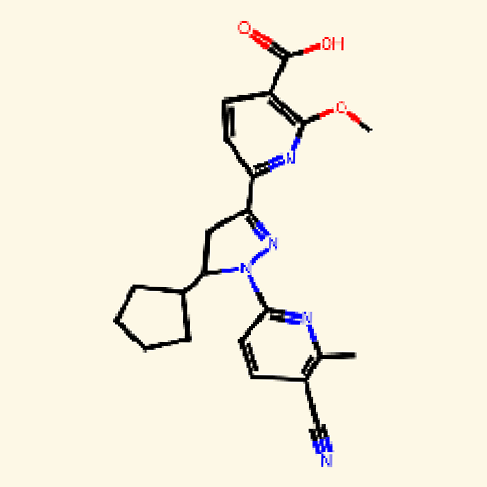 COc1nc(C2=NN(c3ccc(C#N)c(C)n3)C(C3CCCC3)C2)ccc1C(=O)O